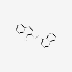 Nc1c(N=Nc2cccc3ccccc23)ccc2ccccc12